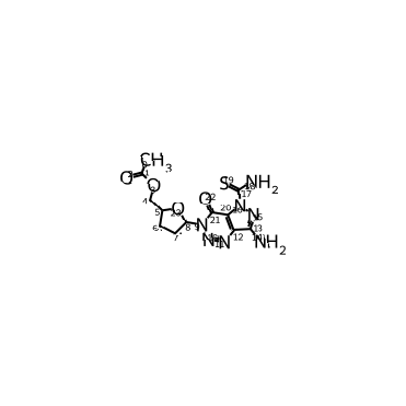 CC(=O)OCC1[CH][CH]C(n2nnc3c(N)nn(C(N)=S)c3c2=O)O1